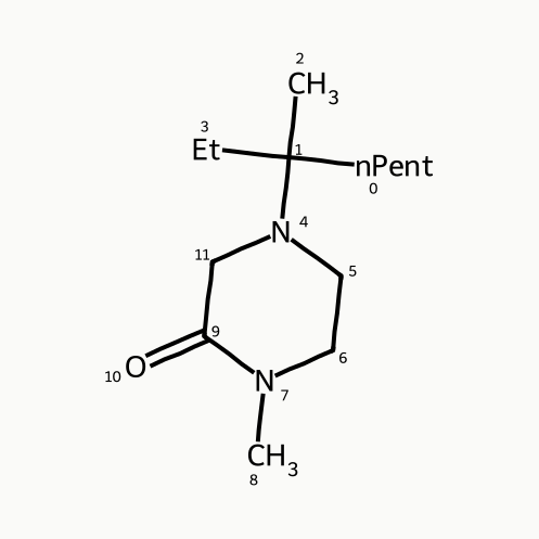 CCCCCC(C)(CC)N1CCN(C)C(=O)C1